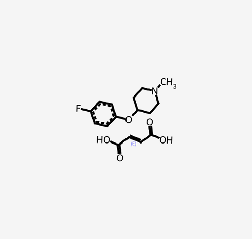 CN1CCC(Oc2ccc(F)cc2)CC1.O=C(O)/C=C/C(=O)O